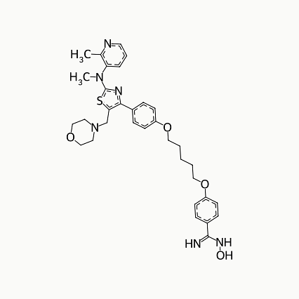 Cc1ncccc1N(C)c1nc(-c2ccc(OCCCCCOc3ccc(C(=N)NO)cc3)cc2)c(CN2CCOCC2)s1